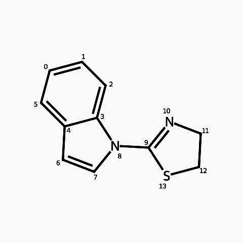 c1ccc2c(c1)ccn2C1=NCCS1